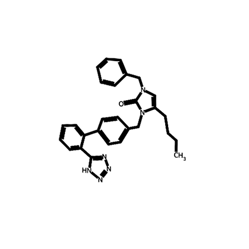 CCCCc1cn(Cc2ccccc2)c(=O)n1Cc1ccc(-c2ccccc2-c2nnn[nH]2)cc1